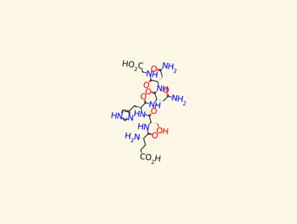 NC(=O)C[C@H](NC(=O)[C@H](CC(N)=O)NC(=O)[C@H](Cc1c[nH]cn1)NC(=O)[C@H](CO)NC(=O)[C@@H](N)CCC(=O)O)C(=O)NCC(=O)O